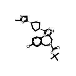 Cc1nc([C@H]2CC[C@H](c3nnc4n3-c3ccc(Cl)cc3CN(C(=O)OC(C)(C)C)C4)CC2)cs1